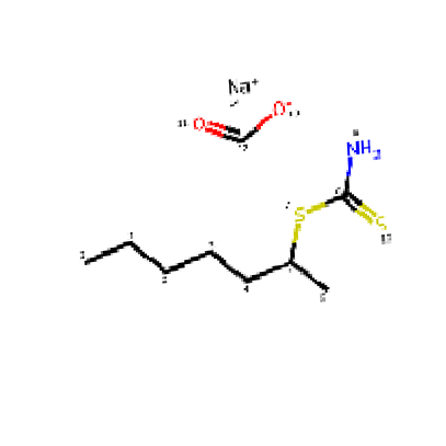 CCCCCC(C)SC(N)=S.O=C[O-].[Na+]